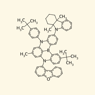 Cc1cc2c3c(c1)N(c1cccc4oc5ccccc5c14)c1ccc(C(C)(C)C)cc1B3c1ccc(N3c4ccccc4C4(C)CCCCC34C)cc1N2c1ccc(C(C)(C)C)cc1